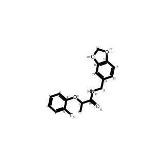 CC(Oc1ccccc1F)C(=O)NCc1ccc2c(c1)OCO2